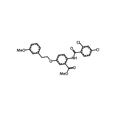 COC(=O)c1cc(OCCc2cccc(OC)c2)ccc1NC(=O)c1ccc(Cl)cc1Cl